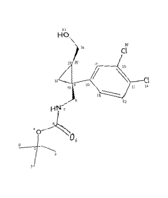 CC(C)(C)OC(=O)NC[C@@]1(c2ccc(Cl)c(Cl)c2)C[C@H]1CO